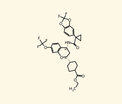 CCOC(=O)C1CCC([C@H]2C[C@@H](NC(=O)C3(c4ccc5c(c4)OC(F)(F)O5)CC3)c3ccc(OC(F)(F)F)cc3O2)CC1